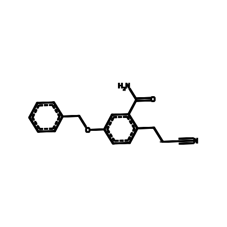 N#C[CH]Cc1ccc(OCc2ccccc2)cc1C(N)=O